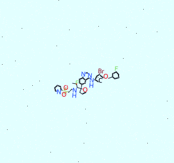 CCC(NCCS(=O)(=O)c1ccccn1)C1(c2cc3c(Nc4ccc(OCc5cccc(F)c5)c(Br)c4)ncnc3cc2F)CC=CO1